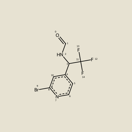 O=CNC(c1ccnc(Br)c1)C(F)(F)F